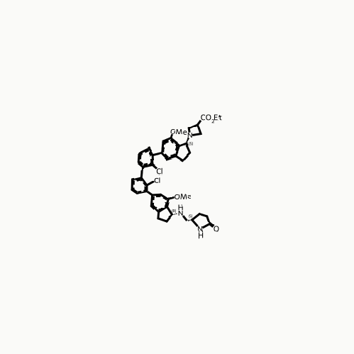 CCOC(=O)C1CN([C@H]2CCc3cc(-c4cccc(-c5cccc(-c6cc7c(c(OC)c6)[C@H](NC[C@@H]6CCC(=O)N6)CC7)c5Cl)c4Cl)cc(OC)c32)C1